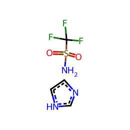 NS(=O)(=O)C(F)(F)F.c1c[nH]cn1